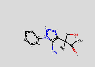 COC(=O)C(CO)(c1nnn(-c2ccccc2)c1N)C(C)(C)C